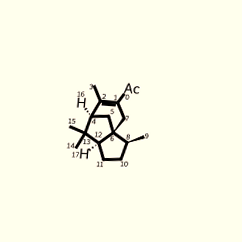 CC(=O)C1=C(C)[C@H]2C[C@]3(C1)[C@@H](C)CC[C@H]3C2(C)C